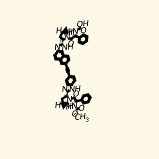 COC(=O)N[C@@H](C(=O)N1[C@@H]2C[C@@H]2C[C@H]1c1nc2cc(C#Cc3ccc4c(ccc5nc([C@@H]6C[C@H]7C[C@H]7N6C(=O)[C@H](NC(=O)O)c6ccccc6)[nH]c54)c3)ccc2[nH]1)c1ccccc1